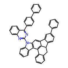 c1ccc(-c2ccc(-c3nc(-n4c5ccccc5c5c6c7c(cc54)-c4cc(-c5ccccc5)ccc4C7Cc4ccccc4-6)nc4ccccc34)cc2)cc1